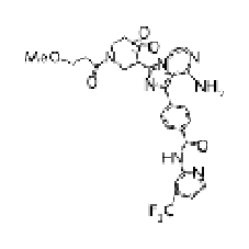 COCCC(=O)N1CCS(=O)(=O)C(c2nc(-c3ccc(C(=O)Nc4cc(C(F)(F)F)ccn4)cc3)c3c(N)nccn23)C1